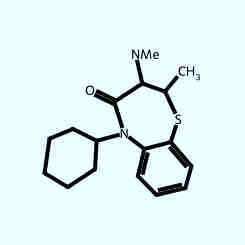 CNC1C(=O)N(C2CCCCC2)c2ccccc2SC1C